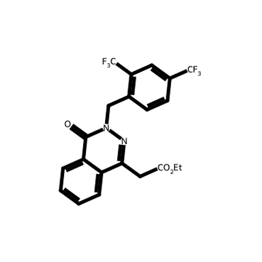 CCOC(=O)Cc1nn(Cc2ccc(C(F)(F)F)cc2C(F)(F)F)c(=O)c2ccccc12